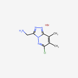 Br.Cc1c(Cl)nn2c(CN)nnc2c1C